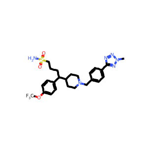 Cn1nnc(-c2ccc(CN3CCC(C(CCCS(N)(=O)=O)c4ccc(OC(F)(F)F)cc4)CC3)cc2)n1